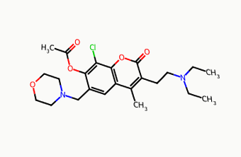 CCN(CC)CCc1c(C)c2cc(CN3CCOCC3)c(OC(C)=O)c(Cl)c2oc1=O